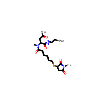 CNCCNC(=O)C(CC(=O)C(C)(C)C)N(C)C(=O)CCCCCSC1CC(=O)N(C(C)(C)C)C1=O